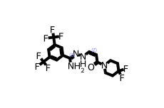 N/C(=N\N/C=C\C(=O)N1CCC(F)(F)CC1)c1cc(C(F)(F)F)cc(C(F)(F)F)c1